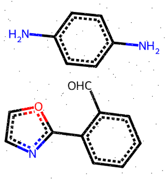 Nc1ccc(N)cc1.O=Cc1ccccc1-c1ncco1